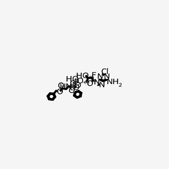 Nc1nc(Cl)nc2c1ncn2[C@@H]1O[C@H](COP(=O)(O)OP(=O)(NCC(=O)OCc2ccccc2)Oc2ccccc2)C(O)[C@H]1F